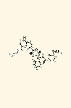 CCCCN1CCNc2ccc(C(=O)N[C@@H](Cc3cc(F)cc(F)c3)[C@H](O)CNCc3cccc(CC)c3)cc21